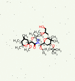 C=C1C[C@](OC)([C@H](O[Si](C)(C)C)C(=O)N[C@@H](OC)[C@@H]2C[C@@H](O[Si](C)(C)C)C(C)(C)[C@@H](CC(CO)OC)O2)O[C@H](C)[C@@H]1C